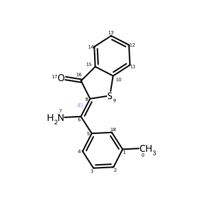 Cc1cccc(/C(N)=C2\Sc3ccccc3C2=O)c1